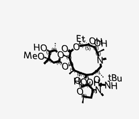 CC[C@H]1OC(=O)[C@H](C)[C@@H](O[C@H]2C[C@@](C)(OC)[C@@H](O)[C@H](C)O2)[C@H](C)[C@@H](O[C@@H]2O[C@H](C)C[C@H](N(C)C(=O)NC(C)(C)C)[C@H]2O)[C@](C)(O)C[C@@H](C)CN(C)[C@H](C)[C@@H](O)[C@]1(C)O